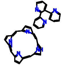 C1=Cc2cc3ccc(cc4nc(cc5ccc(cc1n2)[nH]5)C=C4)[nH]3.c1ccc(-c2cccnc2-c2ccccn2)nc1